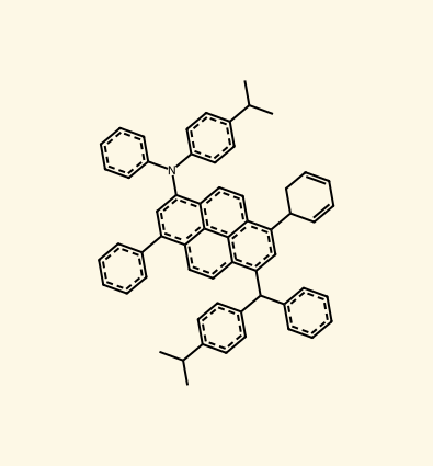 CC(C)c1ccc(C(c2ccccc2)c2cc(C3C=CC=CC3)c3ccc4c(N(c5ccccc5)c5ccc(C(C)C)cc5)cc(-c5ccccc5)c5ccc2c3c54)cc1